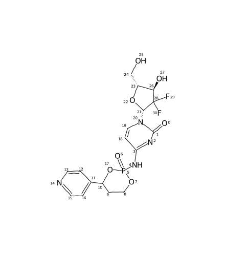 O=c1nc(NP2(=O)OCCC(c3ccncc3)O2)ccn1[C@@H]1O[C@H](CO)[C@@H](O)C1(F)F